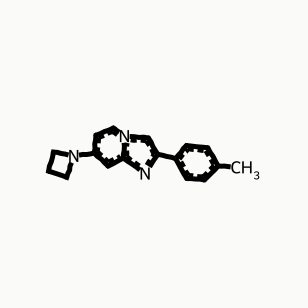 Cc1ccc(-c2cn3ccc(N4CCC4)cc3n2)cc1